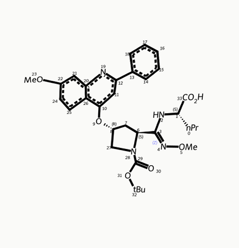 CCC[C@H](N/C(=N\OC)[C@@H]1C[C@@H](Oc2cc(-c3ccccc3)nc3cc(OC)ccc23)CN1C(=O)OC(C)(C)C)C(=O)O